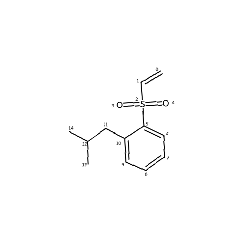 C=CS(=O)(=O)c1ccccc1CC(C)C